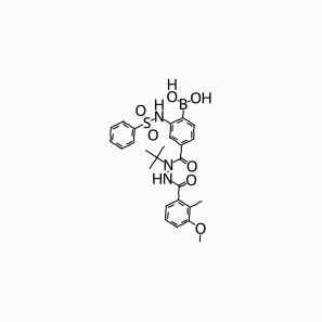 COc1cccc(C(=O)NN(C(=O)c2ccc(B(O)O)c(NS(=O)(=O)c3ccccc3)c2)C(C)(C)C)c1C